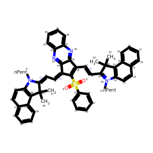 CCCCCN1/C(=C/C=C2C(S(=O)(=O)c3ccccc3)=C(/C=C/C3=[N+](CCCCC)c4ccc5ccccc5c4C3(C)C)c3nc4ccccc4nc3/2)C(C)(C)c2c1ccc1ccccc21